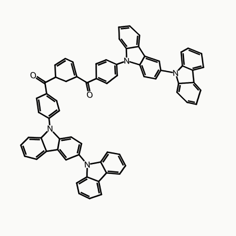 O=C(C1=CC=CC(C(=O)c2ccc(-n3c4ccccc4c4cc(-n5c6ccccc6c6ccccc65)ccc43)cc2)C1)c1ccc(-n2c3ccccc3c3cc(-n4c5ccccc5c5ccccc54)ccc32)cc1